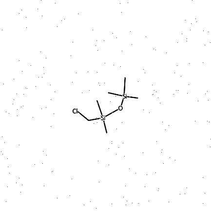 C[Si](C)(C)O[Si](C)(C)CCl